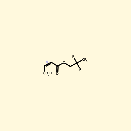 O=C(O)/C=C\C(=O)OCC(F)(F)C(F)(F)F